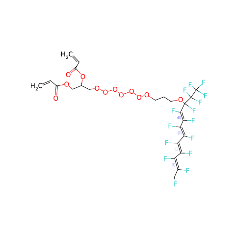 C=CC(=O)OCC(COOOOOOOCCCOC(F)(/C(F)=C(F)/C(F)=C(F)/C(F)=C(F)/C(F)=C(\F)CF)C(F)(F)C(F)(F)F)OC(=O)C=C